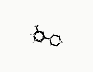 Oc1cc(N2CCOCC2)cnn1